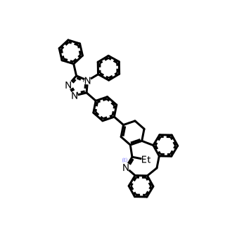 CC/C1=N\c2ccccc2Cc2ccccc2C2=C1C=C(c1ccc(-c3nnc(-c4ccccc4)n3-c3ccccc3)cc1)CC2